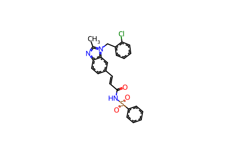 Cc1nc2ccc(/C=C/C(=O)NS(=O)(=O)c3ccccc3)cc2n1Cc1ccccc1Cl